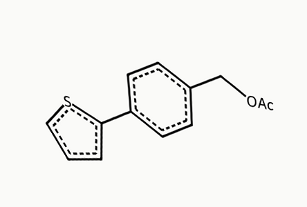 CC(=O)OCc1ccc(-c2cccs2)cc1